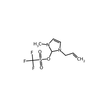 C=CCN1C=CN(C)C1OS(=O)(=O)C(F)(F)F